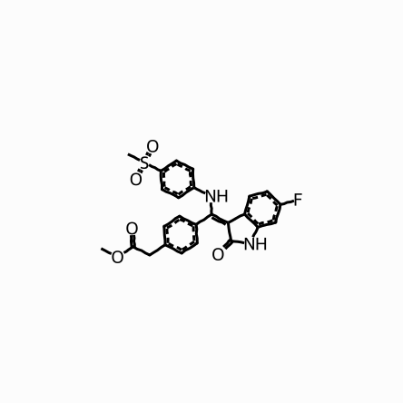 COC(=O)Cc1ccc(C(Nc2ccc(S(C)(=O)=O)cc2)=C2C(=O)Nc3cc(F)ccc32)cc1